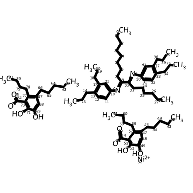 CCCCCCCCC(=Nc1ccc(CCC)c(CCC)c1)C(CCCCCC)=Nc1ccc(CCC)c(CCC)c1.CCCCCc1cc(O)c(O)c(C(=O)[O-])c1CCCC.CCCCCc1cc(O)c(O)c(C(=O)[O-])c1CCCC.[Ni+2]